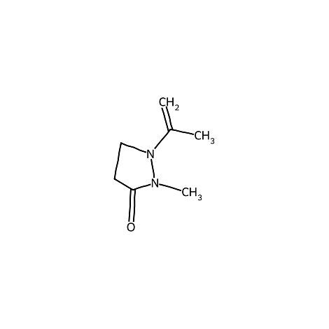 C=C(C)N1CCC(=O)N1C